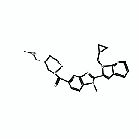 CNC[C@@H]1CCCN(C(=O)c2ccc3c(c2)nc(-c2cc4cccnc4n2CC2CC2)n3C)C1